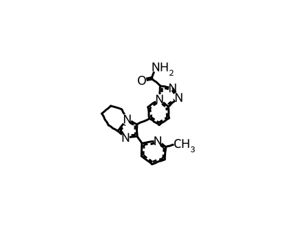 Cc1cccc(-c2nc3n(c2-c2ccc4nnc(C(N)=O)n4c2)CCCC3)n1